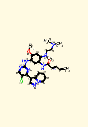 C=C/C=C/C(=O)Nc1cc(Nc2ncc(Cl)c(-c3cnn4ccccc34)n2)c(OC(F)(F)F)cc1N(C)CCN(C)C